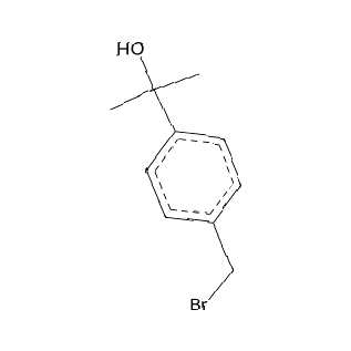 CC(C)(O)c1ccc(CBr)cc1